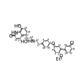 CCOc1ccc(Oc2ccc(CCNCC(O)c3ccc(O)c4[nH]c(=O)ccc34)cc2)cc1-c1cccc(Cl)c1